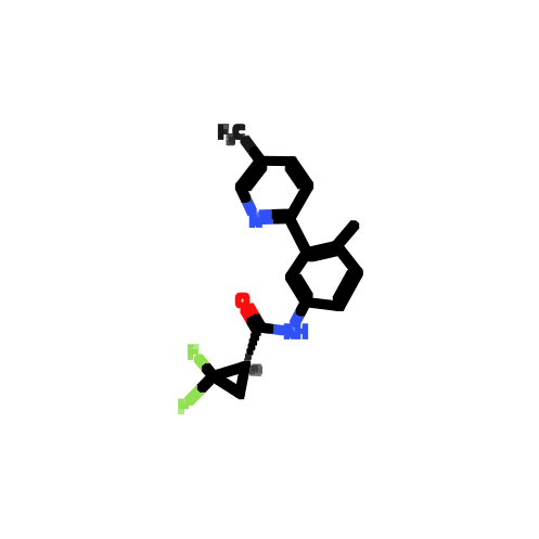 Cc1ccc(NC(=O)[C@@H]2CC2(F)F)cc1-c1ccc(C(F)(F)F)cn1